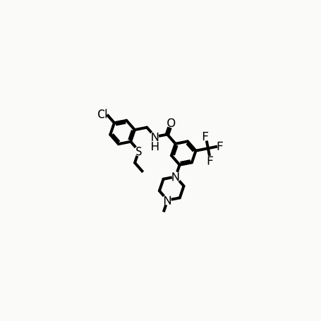 CCSc1ccc(Cl)cc1CNC(=O)c1cc(N2CCN(C)CC2)cc(C(F)(F)F)c1